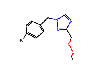 CCOOCc1ncn(Cc2ccc(C#N)cc2)n1